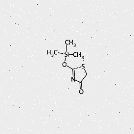 C[Si](C)(C)OC1=NC(=O)CS1